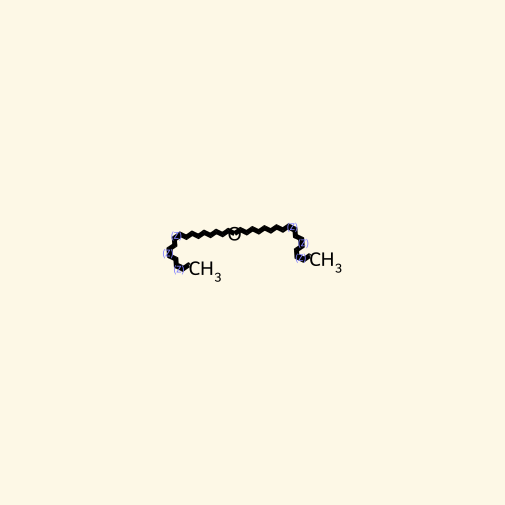 CC/C=C\C/C=C\C/C=C\CCCCCCCCOCCCCCCCC/C=C\C/C=C\C/C=C\CC